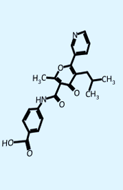 Cc1oc(-c2cccnc2)c(CC(C)C)c(=O)c1C(=O)Nc1ccc(C(=O)O)cc1